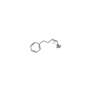 Br/C=C\CCc1ccccc1